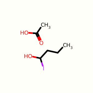 CC(=O)O.CCCC(O)I